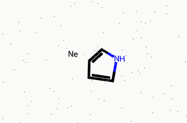 [Ne].c1cc[nH]c1